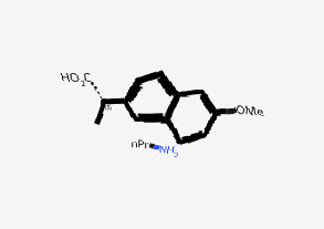 CCCN.COc1ccc2cc([C@H](C)C(=O)O)ccc2c1